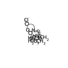 C=C[C@H](N[S@+]([O-])C(C)(C)C)[C@@H]1CC[C@H]1CN1CCCCc2cc(Cl)ccc2COc2ccc(C(=O)OC)cc21